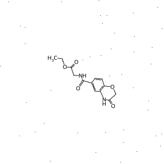 CCOC(=O)CNC(=O)c1ccc2c(c1)NC(=O)CO2